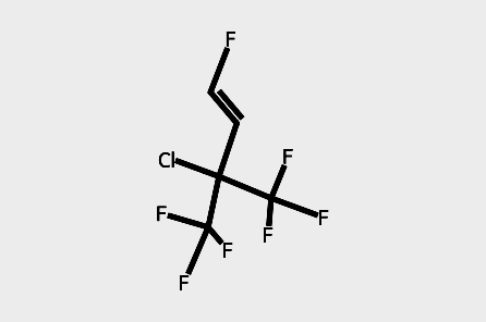 FC=CC(Cl)(C(F)(F)F)C(F)(F)F